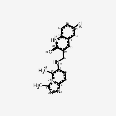 Cc1nnc2ccc(NCc3cc4cc(Cl)ccc4[nH]c3=O)c(C)n12